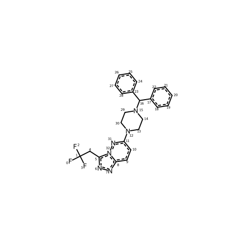 FC(F)(F)Cc1nnc2ccc(N3CCN(C(c4ccccc4)c4ccccc4)CC3)nn12